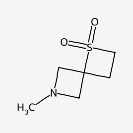 CN1CC2(CCS2(=O)=O)C1